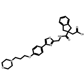 O=C(O)CC1(C(=O)NCc2nc(-c3ccc(OCCCN4CCOCC4)cc3)cs2)Cc2ccccc2C1